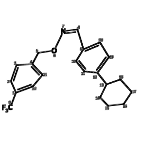 FC(F)(F)c1ccc(CO/N=[C]\c2ccc(C3CCCCC3)cc2)cc1